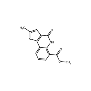 COC(=O)c1cccc2c1[nH]c(=O)c1cc(C)sc12